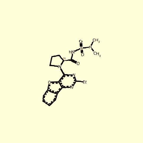 CCc1nc(N2CCC[C@H]2C(=O)NS(=O)(=O)N(C)C)c2oc3ccccc3c2n1